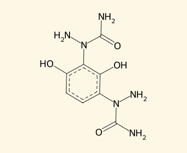 NC(=O)N(N)c1ccc(O)c(N(N)C(N)=O)c1O